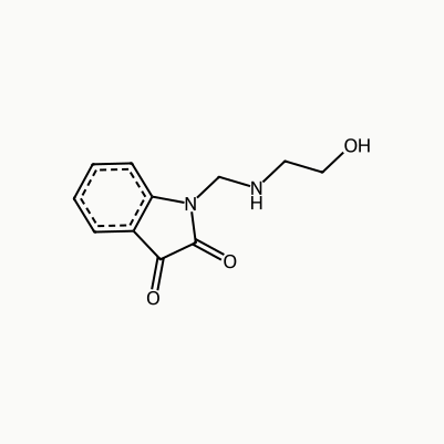 O=C1C(=O)N(CNCCO)c2ccccc21